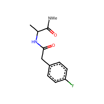 CNC(=O)C(C)NC(=O)Cc1ccc(F)cc1